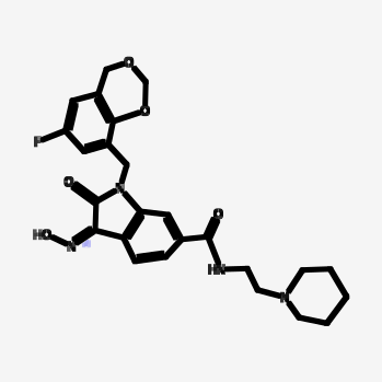 O=C(NCCN1CCCCC1)c1ccc2c(c1)N(Cc1cc(F)cc3c1OCOC3)C(=O)/C2=N\O